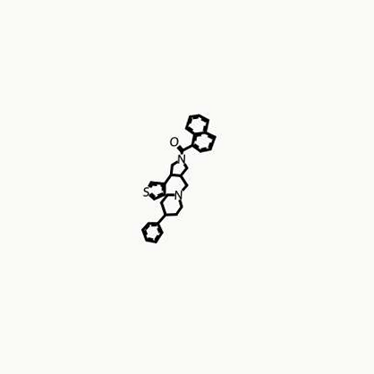 O=C(c1cccc2ccccc12)N1CC(CN2CCC(c3ccccc3)CC2)C(c2ccsc2)C1